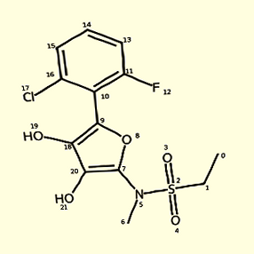 CCS(=O)(=O)N(C)c1oc(-c2c(F)cccc2Cl)c(O)c1O